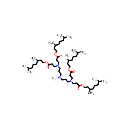 CC(C)CCCC(C)CCOC(=O)CCN(CCCN(C)CCCN(CCC(=O)OCCC(C)CCCC(C)C)CCC(=O)OCCC(C)CCCC(C)C)CCC(=O)OCCC(C)CCCC(C)C